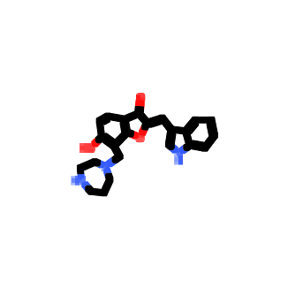 O=C1/C(=C/c2c[nH]c3ccccc23)Oc2c1ccc(O)c2CN1CCCNCC1